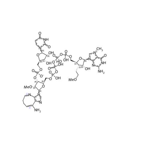 COCC[C@H]1[C@@H](O)[C@H](n2c[n+](C)c3c(=O)[nH]c(N)nc32)O[C@@H]1COP(=O)(O)OP(=O)(O)OP(=O)(O)OP(=O)(O)OC[C@H]1O[C@@H](n2cnc3c2/N=C\CC/C=C\3N)[C@H](OC)[C@@H]1OP(=O)([O-])OC[C@H]1O[C@@H](n2ccc(=O)[nH]c2=O)[C@H](O)[C@@H]1O